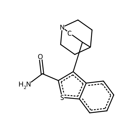 NC(=O)c1sc2ccccc2c1C1CN2CCC1CC2